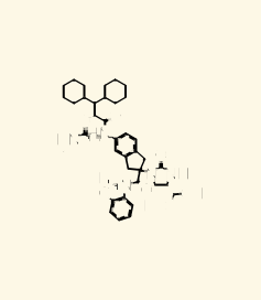 Cc1ccccc1NC(=O)C1(N2C[C@@H](C(C)C)NC2=O)Cc2ccc(NC(=O)[C@@H](OC(N)=O)C(C3CCCCC3)C3CCCCC3)cc2C1